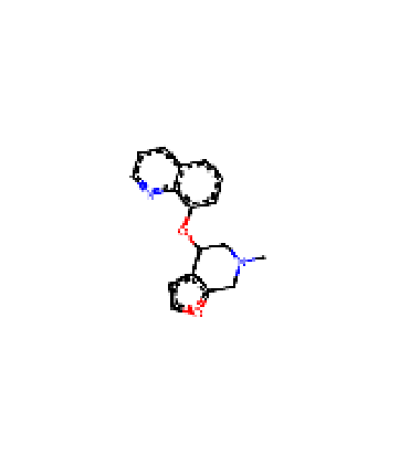 CN1Cc2occc2C(Oc2cccc3cccnc23)C1